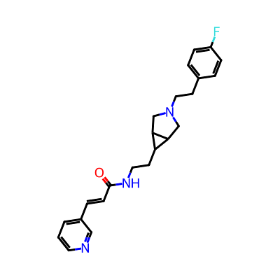 O=C(/C=C/c1cccnc1)NCCC1C2CN(CCc3ccc(F)cc3)CC12